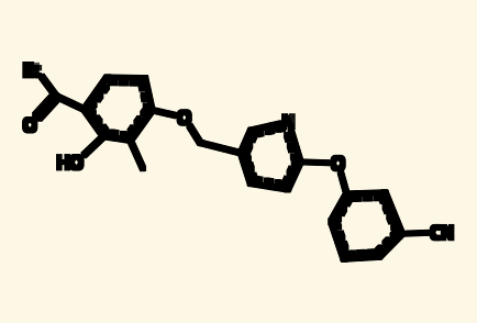 CCC(=O)c1ccc(OCc2ccc(Oc3cccc(C#N)c3)nc2)c(C)c1O